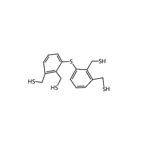 SCc1cccc(Sc2cccc(CS)c2CS)c1CS